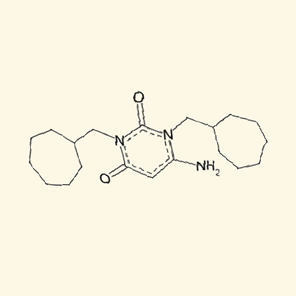 Nc1cc(=O)n(CC2CCCCCC2)c(=O)n1CC1CCCCCC1